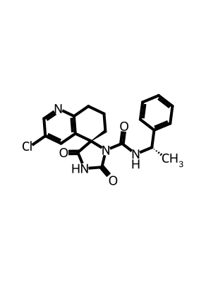 C[C@H](NC(=O)N1C(=O)NC(=O)[C@@]12CCCc1ncc(Cl)cc12)c1ccccc1